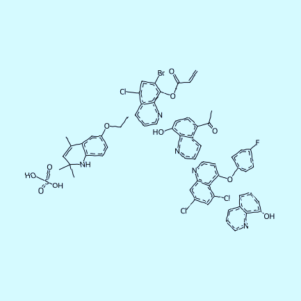 C=CC(=O)Oc1c(Br)cc(Cl)c2cccnc12.CC(=O)c1ccc(O)c2ncccc12.CCOc1ccc2c(c1)C(C)=CC(C)(C)N2.Fc1ccc(Oc2ccnc3cc(Cl)cc(Cl)c23)cc1.O=S(=O)(O)O.Oc1cccc2cccnc12